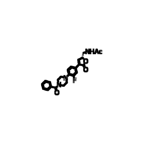 CC(=O)NC[C@H]1C=C(c2ccc(N3CCN(C(=O)c4ccccc4)CC3)c(F)c2)C(=O)O1